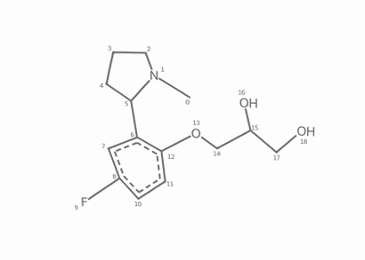 CN1CCCC1c1cc(F)ccc1OCC(O)CO